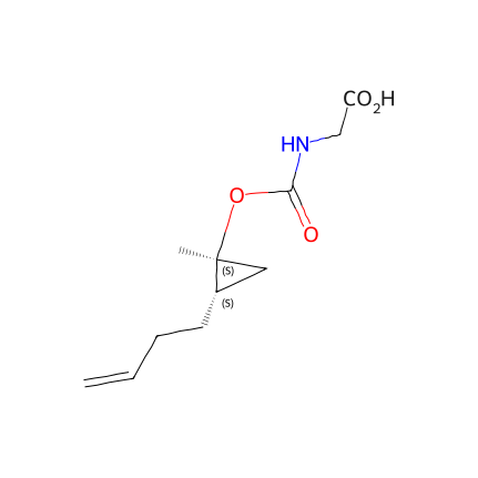 C=CCC[C@H]1C[C@]1(C)OC(=O)NCC(=O)O